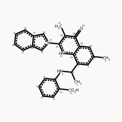 Cc1cc(C(C)Nc2ccccc2C(=O)O)c2[nH]c(-n3cc4ccccc4c3)c(C)c(=O)c2c1